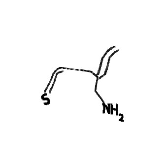 C=C(N)C=S